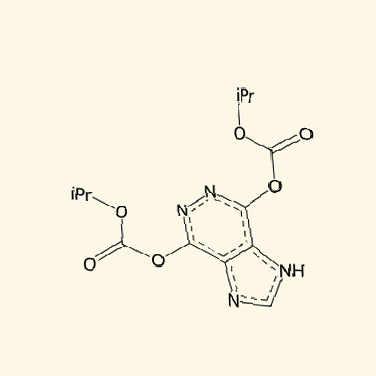 CC(C)OC(=O)Oc1nnc(OC(=O)OC(C)C)c2[nH]cnc12